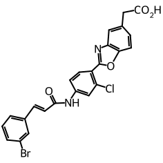 O=C(O)Cc1ccc2oc(-c3ccc(NC(=O)C=Cc4cccc(Br)c4)cc3Cl)nc2c1